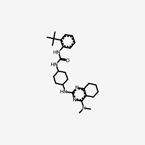 CN(C)c1nc(NC2CCC(NC(=O)Nc3ccccc3C(C)(C)C)CC2)nc2c1CCCC2